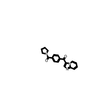 O=C(c1ccc(C(=O)N2CCCC2)cc1)c1cnc2ccccn12